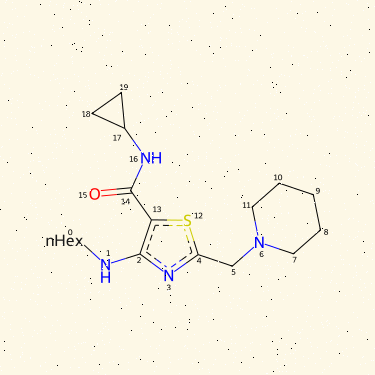 CCCCCCNc1nc(CN2CCCCC2)sc1C(=O)NC1CC1